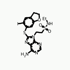 CCNS(=O)(=O)CCn1c(Sc2cc3c(cc2I)CCO3)nc2c(N)ncnc21